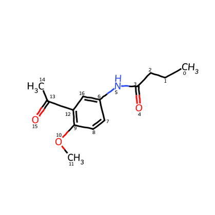 CCCC(=O)Nc1ccc(OC)c(C(C)=O)c1